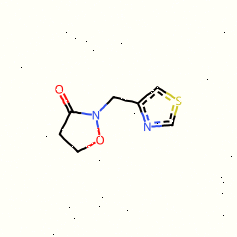 O=C1CCON1Cc1cscn1